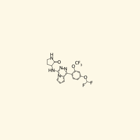 O=C1NCCC1Nc1nnc(-c2ccc(OC(F)F)cc2OC(F)(F)F)c2cccn12